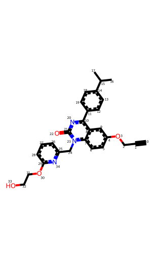 C#CCOc1ccc2c(c1)c(-c1ccc(C(C)C)cc1)nc(=O)n2Cc1cccc(OCCO)n1